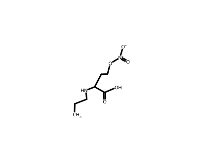 CCCNC(CCO[N+](=O)[O-])C(=O)O